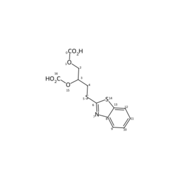 O=C(O)OCC(CSc1nc2ccccc2s1)OC(=O)O